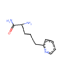 NC(=O)C(N)CCCc1ccccn1